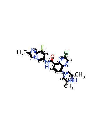 Cc1cn2cc(NC(=O)c3ccc(N4C[C@@H](C)N[C@@H](C)C4)c4ncc(Cl)nc34)cc(F)c2n1